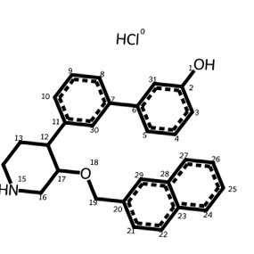 Cl.Oc1cccc(-c2cccc(C3CCNCC3OCc3ccc4ccccc4c3)c2)c1